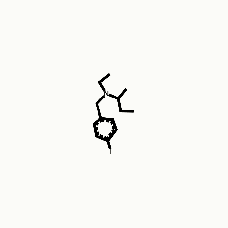 CCC(C)N(CC)Cc1ccc(I)cc1